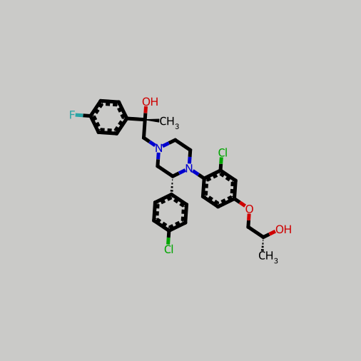 C[C@@H](O)COc1ccc(N2CCN(C[C@@](C)(O)c3ccc(F)cc3)C[C@H]2c2ccc(Cl)cc2)c(Cl)c1